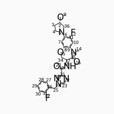 CO[C@H]1CCN(c2cc3c(cc2F)N(C)C(=O)[C@@H](NC(=O)c2ncn(Cc4ccccc4F)n2)CO3)C1